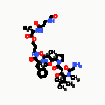 CC[C@H](C)[C@@H]([C@@H](CC(=O)N1CCC[C@H]1[C@H](OC)[C@@H](C)C(=O)N[C@@H](Cc1ccccc1)C(=O)NCCCOC(=O)C(C)NC(=O)CCNC=O)OC)N(C)C(=O)CN